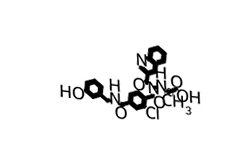 C[C@H](NN(C(=O)c1cnc2ccccc2c1)C(=O)c1ccc(C(=O)NCc2cccc(O)c2)cc1Cl)C(=O)O